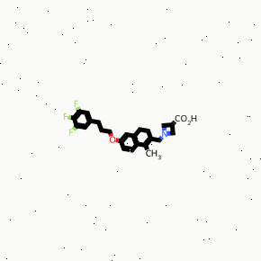 CC1=C(CN2CC(C(=O)O)C2)CCc2cc(OCCCc3cc(F)c(F)c(F)c3)ccc21